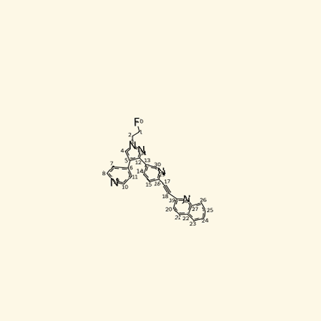 FCCn1cc(-c2ccncc2)c(-c2ccc(C#Cc3ccc4ccccc4n3)nc2)n1